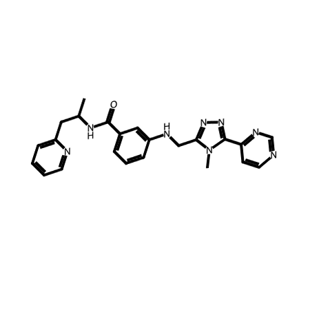 CC(Cc1ccccn1)NC(=O)c1cccc(NCc2nnc(-c3ccncn3)n2C)c1